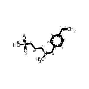 C=Cc1ccc(CN(C)CCCS(=O)(=O)O)cc1